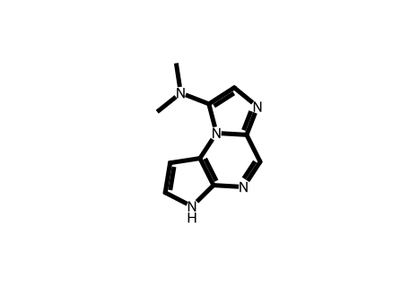 CN(C)c1cnc2cnc3[nH]ccc3n12